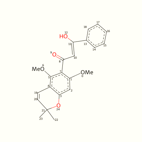 COc1cc2c(c(OC)c1C(=O)/C=C(\O)c1ccccc1)C=CC(C)(C)O2